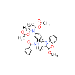 CC(=O)OC(C)N(c1cccc(NC(=O)c2ccccc2)c1)C(C)OC(C)=O.COC(=O)C(C)N(C)c1ccccc1